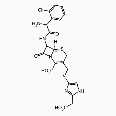 NC(C(=O)NC1C(=O)N2C(C(=O)O)=C(CSc3n[nH]c(CC(=O)O)n3)CS[C@H]12)c1ccccc1Cl